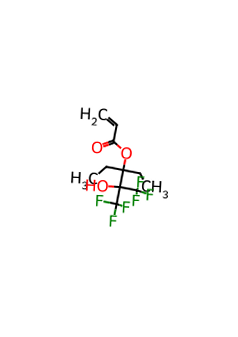 C=CC(=O)OC(CC)(CC)C(O)(C(F)(F)F)C(F)(F)F